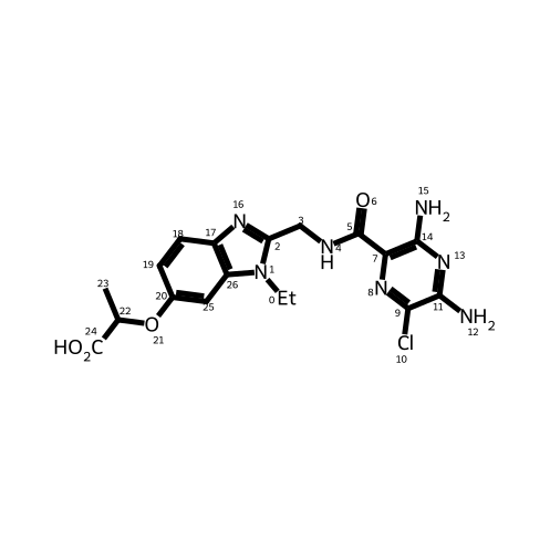 CCn1c(CNC(=O)c2nc(Cl)c(N)nc2N)nc2ccc(OC(C)C(=O)O)cc21